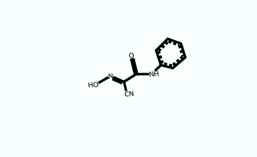 N#C/C(=N\O)C(=O)Nc1ccccc1